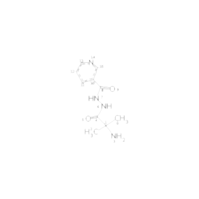 CC(C)(N)C(=O)NNC(=O)c1cccnc1